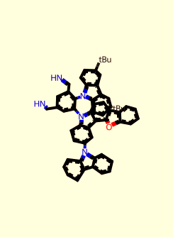 CC(C)(C)c1ccc2c(c1)c1cc(C(C)(C)C)ccc1n2-c1c(C=N)cc(C=N)cc1-n1c2ccc(-n3c4ccccc4c4ccccc43)cc2c2c3oc4ccccc4c3ccc21